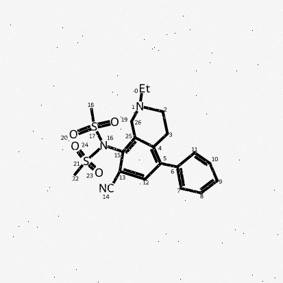 CCN1CCc2c(-c3ccccc3)cc(C#N)c(N(S(C)(=O)=O)S(C)(=O)=O)c2C1